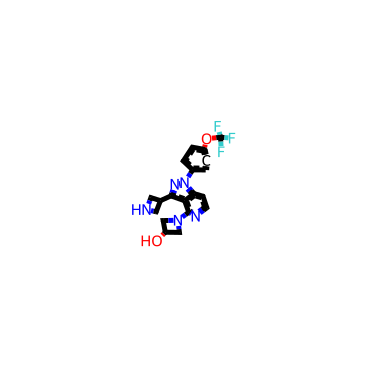 OC1CN(c2nccc3c2c(C2CNC2)nn3-c2ccc(OC(F)(F)F)cc2)C1